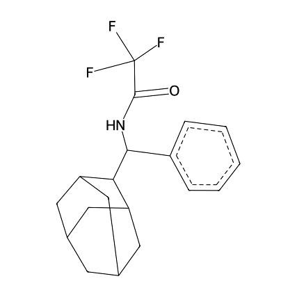 O=C(NC(c1ccccc1)C1C2CC3CC(C2)CC1C3)C(F)(F)F